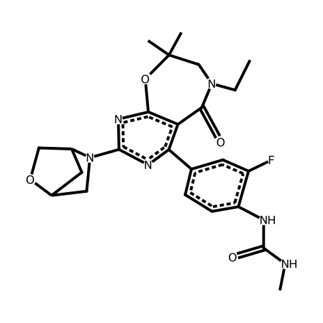 CCN1CC(C)(C)Oc2nc(N3CC4CC3CO4)nc(-c3ccc(NC(=O)NC)c(F)c3)c2C1=O